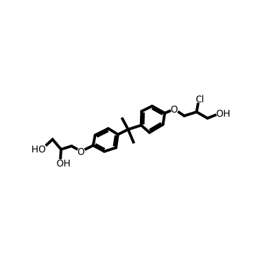 CC(C)(c1ccc(OCC(O)CO)cc1)c1ccc(OCC(Cl)CO)cc1